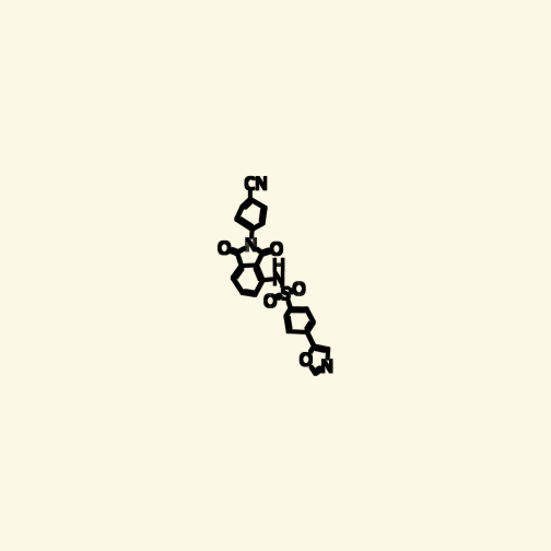 N#Cc1ccc(N2C(=O)c3cccc(NS(=O)(=O)c4ccc(-c5cnco5)cc4)c3C2=O)cc1